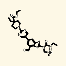 CCNC(=O)N(CNC)c1nc2cc(-c3cnc(N4CCC(CC)(C(=O)OCC)CC4)nc3)cc(C=O)c2s1